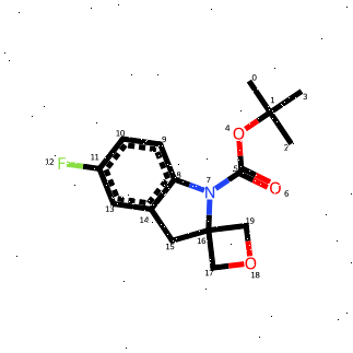 CC(C)(C)OC(=O)N1c2ccc(F)cc2CC12COC2